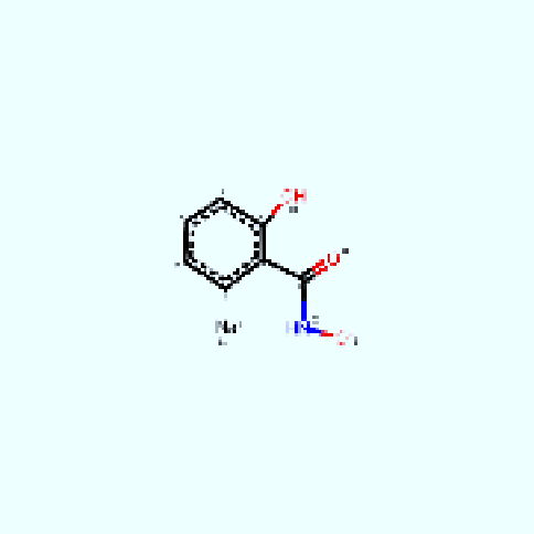 O=C(N[O-])c1ccccc1O.[Na+]